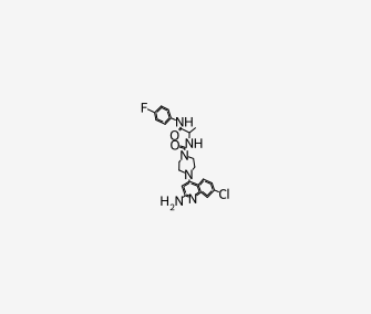 CC(NC(=O)N1CCN(c2cc(N)nc3cc(Cl)ccc23)CC1)C(=O)Nc1ccc(F)cc1